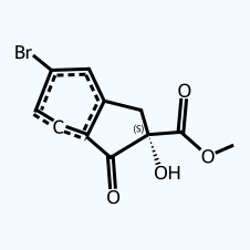 COC(=O)[C@]1(O)Cc2cc(Br)ccc2C1=O